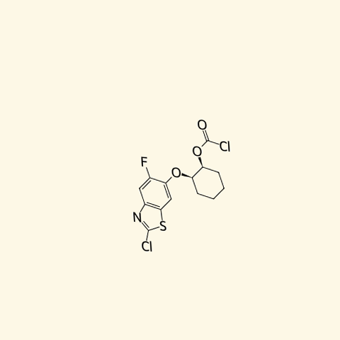 O=C(Cl)O[C@H]1CCCC[C@H]1Oc1cc2sc(Cl)nc2cc1F